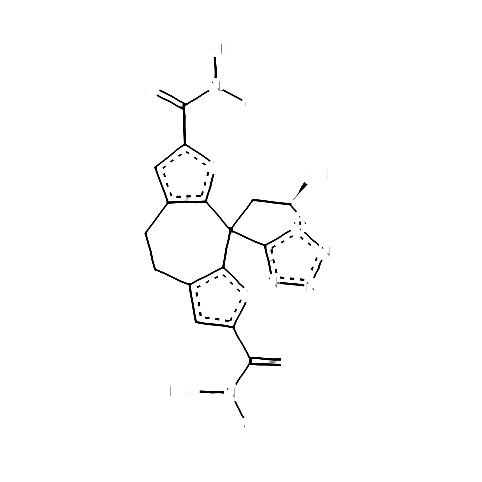 C[C@@H](N)CC1(c2nn[nH]n2)c2sc(C(=O)N(C)C)cc2CCc2cc(C(=O)N(C)C)sc21